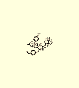 C=Cc1ccc(C[C@H](NC(=O)OC2CO[C@H]3OCC[C@@H]23)[C@H](O)CN(CC(C)C)S(=O)(=O)c2ccc(OC)cc2)cc1